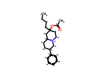 CCCCC1(OC(C)=O)CCN2CC(c3ccccc3)CCC2C1